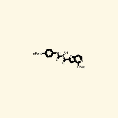 CCCCCc1ccc(NC(=O)N(S)C(=O)c2cc3c(OC)nccc3o2)cc1